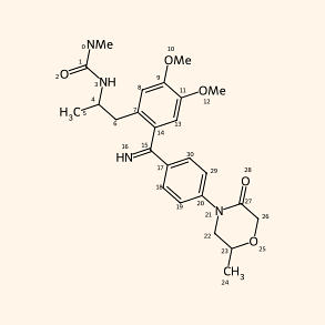 CNC(=O)NC(C)Cc1cc(OC)c(OC)cc1C(=N)c1ccc(N2CC(C)OCC2=O)cc1